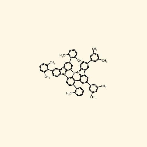 Cc1cc(C)cc(-c2ccc3c(c2)c2cc(-c4cc(C)cc(C)c4)cc4c2n3B2c3c(ccc(-c5ccccc5C)c3-4)-n3c4ccc(-c5c(C)cccc5C)cc4c4cc(-c5c(C)cccc5C)cc2c43)c1